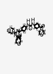 O=C(Nc1ccc(C(=O)N2CCSCC2)cc1)Nc1ccc(-c2nc(N3CCOCC3)nc(N3C4CCC3COC4)n2)cc1